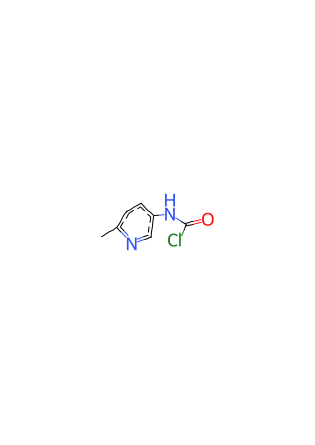 Cc1ccc(NC(=O)Cl)cn1